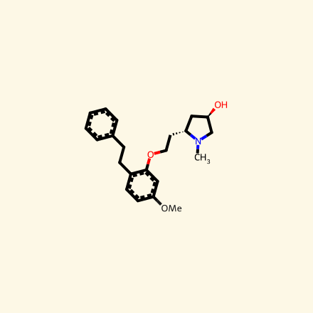 COc1ccc(CCc2ccccc2)c(OCC[C@@H]2C[C@@H](O)CN2C)c1